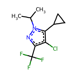 CC(C)n1nc(C(F)(F)F)c(Cl)c1C1CC1